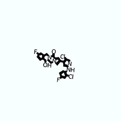 O=C1c2cc(-c3cc(Nc4ccc(F)cc4Cl)ncc3Cl)cn2CCN1Cc1cc(F)ccc1CO